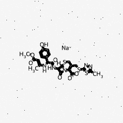 COC(=O)C=C(C)NC(C(=O)NC1C(=O)N2C(C(=O)[O-])=C(CSc3nnc(C)s3)CS[C@@H]12)c1ccc(O)cc1.[Na+]